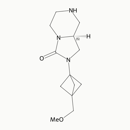 COCC12CC(N3C[C@@H]4CNCCN4C3=O)(C1)C2